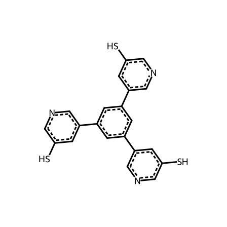 Sc1cncc(-c2cc(-c3cncc(S)c3)cc(-c3cncc(S)c3)c2)c1